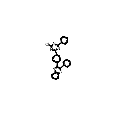 Clc1nc(-c2ccccc2)nc(-c2ccc(-c3nc4ccccc4nc3-c3ccccc3)cc2)n1